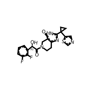 O=C([C@H](O)c1cccc(F)c1F)N1CCc2nc(C3(c4cncs4)CC3)[nH]c(=O)c2C1